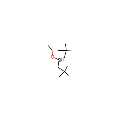 CCO[SiH](CC(C)(C)C)CC(C)(C)C